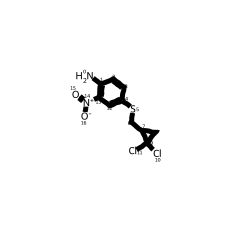 Nc1ccc(SCC2CC2(Cl)Cl)cc1[N+](=O)[O-]